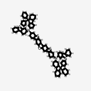 c1ccc(C2(c3ccccc3)c3ccccc3-c3ccc(N(c4ccc5c(c4)sc4ccccc45)c4ccc5c(c4)sc4cc6c(cc45)oc4cc5c(cc46)sc4cc(N(c6ccc7c(c6)C(c6ccccc6)(c6ccccc6)c6ccccc6-7)c6ccc7c(c6)sc6ccccc67)ccc45)cc32)cc1